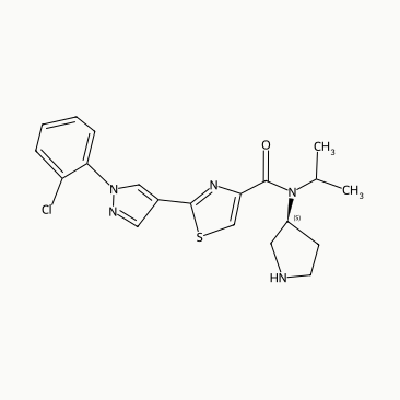 CC(C)N(C(=O)c1csc(-c2cnn(-c3ccccc3Cl)c2)n1)[C@H]1CCNC1